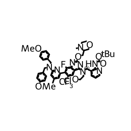 COc1ccc(CN(Cc2ccc(OC)cc2)c2cc(C)c(C(F)(F)F)c(-c3c(Cl)c4c5c(nc(OCC6COCCN6C)nc5c3F)N([C@H](C)c3cccnc3NC(=O)OC(C)(C)C)CCO4)n2)cc1